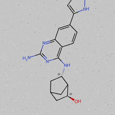 Nc1nc(N[C@H]2CC3CC2[C@@H](O)C3)c2ccc(-c3ccn[nH]3)cc2n1